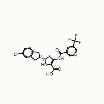 O=C(O)C1=C(NC(=O)c2cncc(C(F)(F)F)c2)SN([C@H]2Cc3ccc(Cl)cc3C2)N1